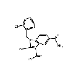 CCCc1c(C(=O)C(C)C)c2cc(C(N)=O)ccc2n1Cc1ccccc1Cl